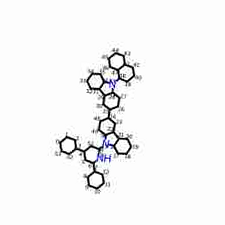 C1CCC(C2CC(C3CCCCC3)NC(N3C4CCCCC4C4CC(C5CCC6C(C5)C5CCCCC5N6C5CCCC6CCCCC65)CCC43)C2)CC1